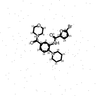 O=C(Nc1cc(C(=O)N2CCOCC2)ccc1N1CCCCC1)c1ccc(Br)o1